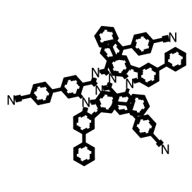 N#Cc1ccc(-c2cccc(-c3nc(-c4ccc(-c5ccc(C#N)cc5)cc4-n4c5ccc(-c6ccccc6)cc5c5cc(-c6ccccc6)ccc54)nc(-c4ccc(-c5ccc(C#N)cc5)cc4-n4c5ccc(-c6ccccc6)cc5c5cc(-c6ccccc6)ccc54)n3)c2)cc1